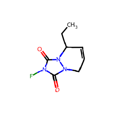 CCC1C=CCn2c(=O)n(F)c(=O)n21